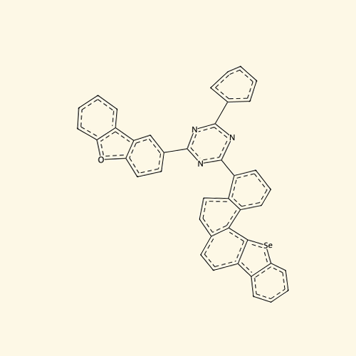 c1ccc(-c2nc(-c3ccc4oc5ccccc5c4c3)nc(-c3cccc4c3ccc3ccc5c6ccccc6[se]c5c34)n2)cc1